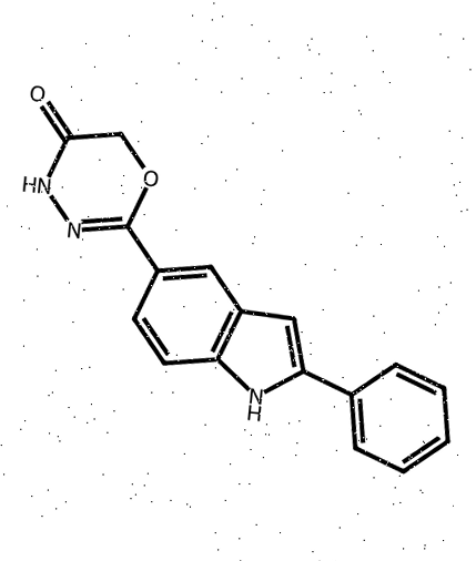 O=C1COC(c2ccc3[nH]c(-c4ccccc4)cc3c2)=NN1